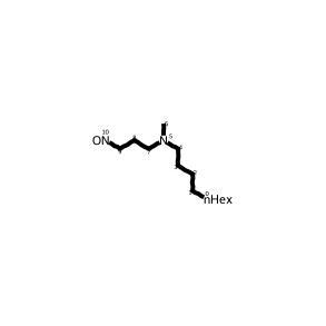 CCCCCCCCCCN(C)CCCN=O